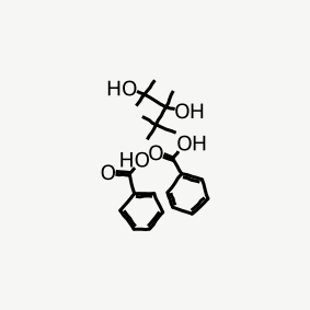 CC(C)(C)C(C)(O)C(C)(C)O.O=C(O)c1ccccc1.O=C(O)c1ccccc1